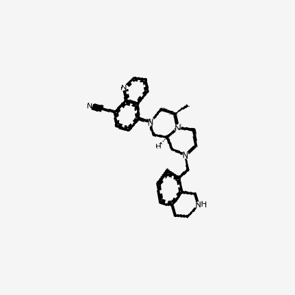 C[C@@H]1CN(c2ccc(C#N)c3ncccc23)C[C@@H]2CN(Cc3cccc4c3CNCC4)CCN21